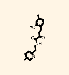 COc1cc(C)ccc1CCC(=O)C(=O)NCCc1ccc(C)cn1